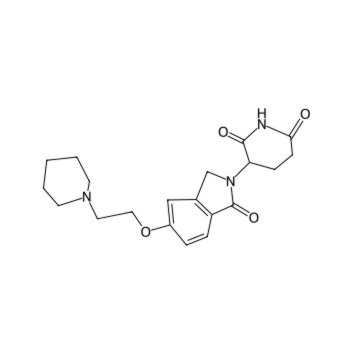 O=C1CCC(N2Cc3cc(OCCN4CCCCC4)ccc3C2=O)C(=O)N1